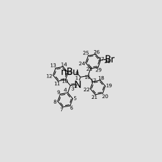 CCCCC(N=C(c1ccccc1)c1ccccc1)C(c1ccccc1)c1cccc(Br)c1